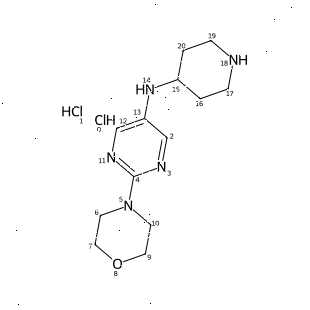 Cl.Cl.c1nc(N2CCOCC2)ncc1NC1CCNCC1